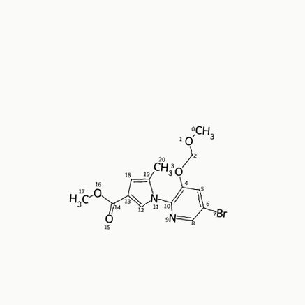 COCOc1cc(Br)cnc1-n1cc(C(=O)OC)cc1C